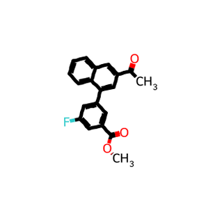 COC(=O)c1cc(F)cc(-c2cc(C(C)=O)cc3ccccc23)c1